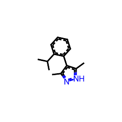 Cc1n[nH]c(C)c1-c1ccccc1C(C)C